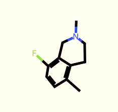 Cc1ccc(F)c2c1CCN(C)C2